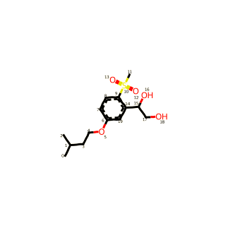 CC(C)CCOc1ccc(S(C)(=O)=O)c(C(O)CO)c1